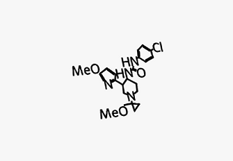 COCC1(N2CCC(NC(=O)Nc3ccc(Cl)cc3)C(c3ccc(OC)cn3)C2)CC1